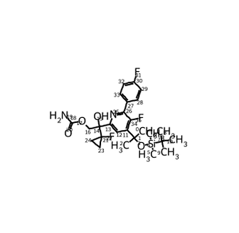 CC(C)(O[Si](C)(C)C(C)(C)C)c1cc(C(O)(COC(N)=O)C2(F)CC2)nc(-c2ccc(F)cc2)c1F